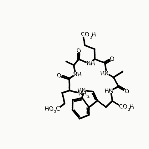 CC(NC(=O)C(N)CCC(=O)O)C(=O)NC(CCC(=O)O)C(=O)NC(C)C(=O)NC(Cc1c[nH]c2ccccc12)C(=O)O